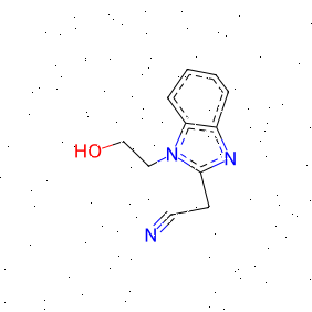 N#CCc1nc2ccccc2n1CCO